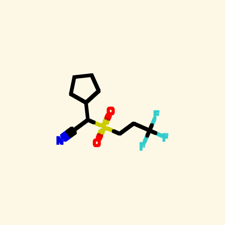 N#CC(C1CCCC1)S(=O)(=O)CCC(F)(F)F